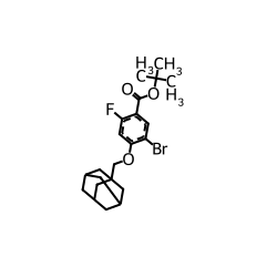 CC(C)(C)OC(=O)c1cc(Br)c(OCC23CC4CC(CC(C4)C2)C3)cc1F